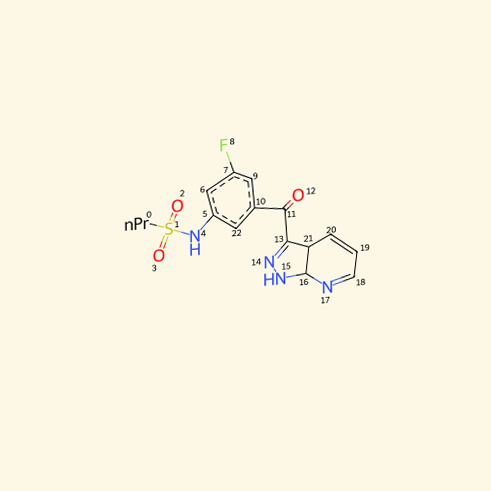 CCCS(=O)(=O)Nc1cc(F)cc(C(=O)C2=NNC3N=CC=CC23)c1